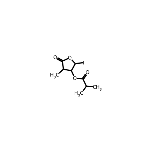 CC(C)C(=O)OC1C(I)OC(=O)C1C